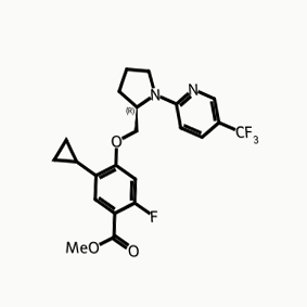 COC(=O)c1cc(C2CC2)c(OC[C@H]2CCCN2c2ccc(C(F)(F)F)cn2)cc1F